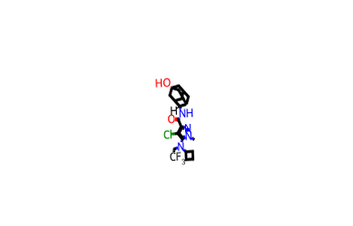 Cn1nc(C(=O)N[C@H]2C3CC4CC2C[C@](O)(C4)C3)c(Cl)c1N(CC(F)(F)F)C1CCC1